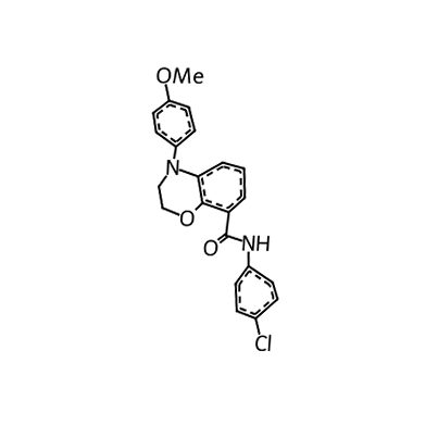 COc1ccc(N2CCOc3c(C(=O)Nc4ccc(Cl)cc4)cccc32)cc1